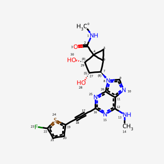 CNC(=O)C12CC1[C@@H](n1cnc3c(NC)nc(C#Cc4ccc(F)s4)nc31)[C@H](O)[C@@H]2O